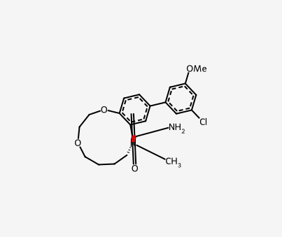 COc1cc(Cl)cc(-c2ccc3c(c2)[C@]2(CCCCOCCO3)N=C(N)N(C)C2=O)c1